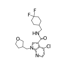 O=C(NCC1CCC(F)(F)CC1)c1cn(CC2CCOC2)c2nccc(Cl)c12